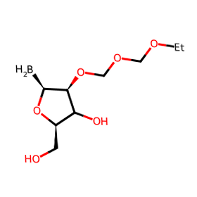 B[C@@H]1O[C@H](CO)C(O)[C@@H]1OCOCOCC